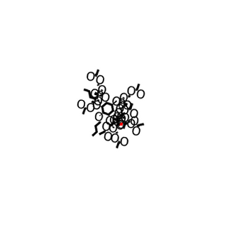 CCCCO[C@@H]1[C@H](OCCCC)[C@H](OP(=O)(OCOC(C)=O)OCOC(C)=O)[C@@H](OP(=O)(OCOC(C)=O)OCOC(C)=O)[C@H](OP(=O)(OCOC(C)=O)OCOC(C)=O)[C@H]1OP(=O)(OCOC(C)=O)OCOC(C)=O